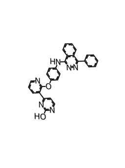 Oc1nccc(-c2cccnc2Oc2ccc(Nc3nnc(-c4ccccc4)c4ccccc34)cc2)n1